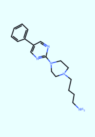 NCCCCN1CCN(c2ncc(-c3ccccc3)cn2)CC1